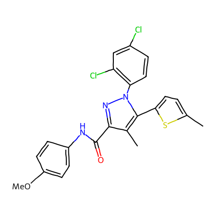 COc1ccc(NC(=O)c2nn(-c3ccc(Cl)cc3Cl)c(-c3ccc(C)s3)c2C)cc1